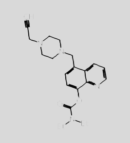 C#CCN1CCN(Cc2ccc(OC(=O)N(CC)CC)c3ncccc23)CC1